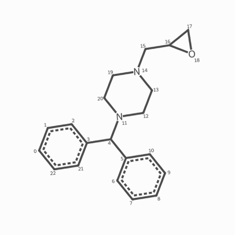 c1ccc(C(c2ccccc2)N2CCN(CC3CO3)CC2)cc1